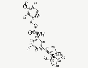 COc1c(C)cnc(COC(=O)Nc2cc(C)cc(C#C[Si](C(C)C)(C(C)C)C(C)C)c2)c1C